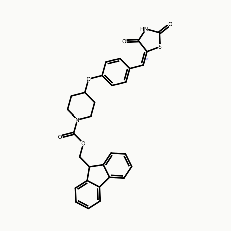 O=C1NC(=O)/C(=C\c2ccc(OC3CCN(C(=O)OCC4c5ccccc5-c5ccccc54)CC3)cc2)S1